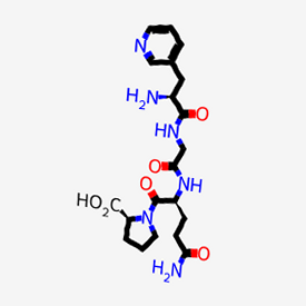 NC(=O)CC[C@H](NC(=O)CNC(=O)[C@@H](N)Cc1cccnc1)C(=O)N1CCC[C@H]1C(=O)O